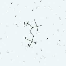 CC(C)C(F)(F)CCC(C(C)(F)F)C(F)(F)F